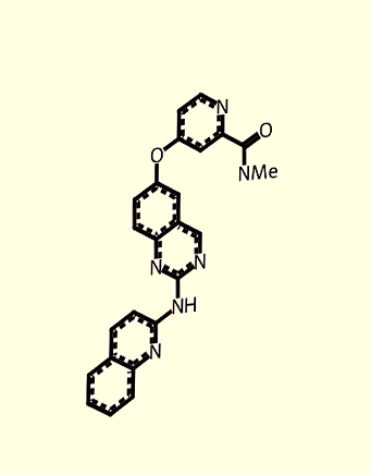 CNC(=O)c1cc(Oc2ccc3nc(Nc4ccc5ccccc5n4)ncc3c2)ccn1